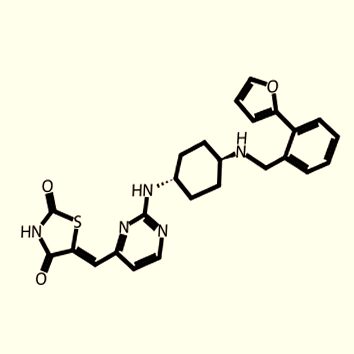 O=C1NC(=O)C(=Cc2ccnc(N[C@H]3CC[C@H](NCc4ccccc4-c4ccco4)CC3)n2)S1